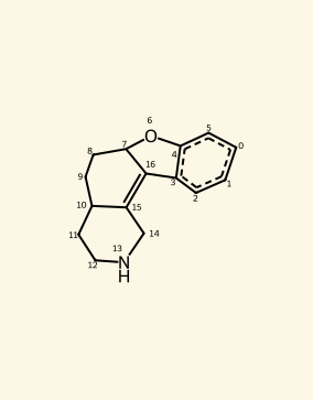 c1ccc2c(c1)OC1CCC3CCNCC3=C21